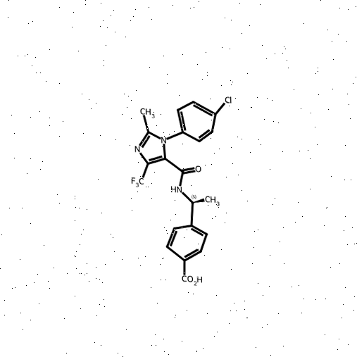 Cc1nc(C(F)(F)F)c(C(=O)N[C@@H](C)c2ccc(C(=O)O)cc2)n1-c1ccc(Cl)cc1